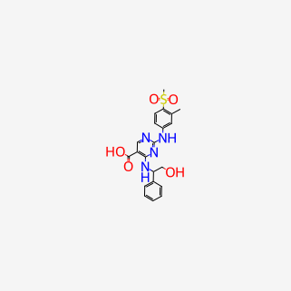 Cc1cc(Nc2ncc(C(=O)O)c(NC(CO)c3ccccc3)n2)ccc1S(C)(=O)=O